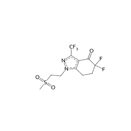 CS(=O)(=O)CCn1nc(C(F)(F)F)c2c1CCC(F)(F)C2=O